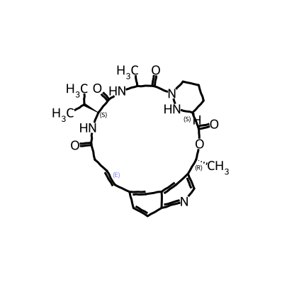 CC1NC(=O)[C@H](C(C)C)NC(=O)C/C=C/c2ccc3ncc(cc3c2)[C@@H](C)OC(=O)[C@@H]2CCCN(N2)C1=O